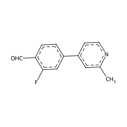 Cc1cc(-c2ccc(C=O)c(F)c2)ccn1